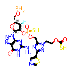 Nc1nc2c(nnn2[C@@H]2O[C@H](COP)[C@@H](F)[C@H]2OP(=O)(S)OCc2nc(-c3cncs3)nn2CCOC(=O)S)c(=O)[nH]1